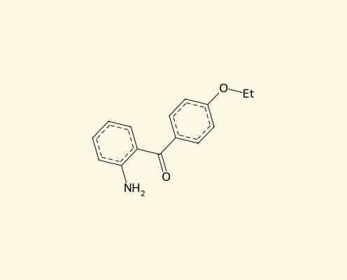 CCOc1ccc(C(=O)c2ccccc2N)cc1